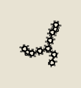 c1cncc(-c2cccc(-c3nc(-c4ccc(-c5ccc6c(c5)oc5ccccc56)cc4)cc(-c4ccc(-c5ccc6oc7ccccc7c6c5)cc4)n3)c2)c1